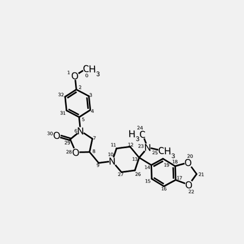 COc1ccc(N2CC(CN3CCC(c4ccc5c(c4)OCO5)(N(C)C)CC3)OC2=O)cc1